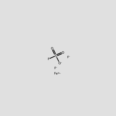 O=S(=O)([O-])F.[F-].[F-].[Fe+3]